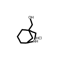 Cl.OCC12CCCC(C1)NC2